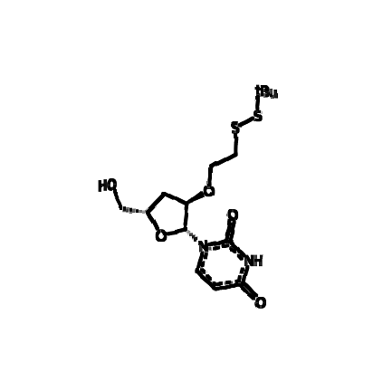 CC(C)(C)SSCCO[C@@H]1C[C@@H](CO)O[C@H]1n1ccc(=O)[nH]c1=O